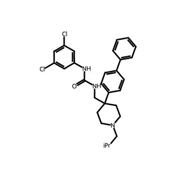 CC(C)CN1CCC(CNC(=O)Nc2cc(Cl)cc(Cl)c2)(c2ccc(-c3ccccc3)cc2)CC1